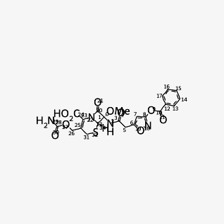 CO[C@@]1(NC(=O)Cc2cc(OC(=O)c3ccccc3)no2)C(=O)N2C(C(=O)O)=C(COC(N)=O)CS[C@H]21